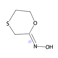 O/N=C1/CSCCO1